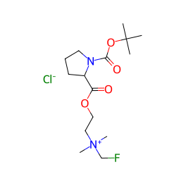 CC(C)(C)OC(=O)N1CCCC1C(=O)OCC[N+](C)(C)CF.[Cl-]